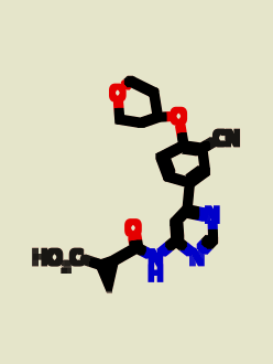 N#Cc1cc(-c2cc(NC(=O)C3CC3C(=O)O)ncn2)ccc1OC1CCOCC1